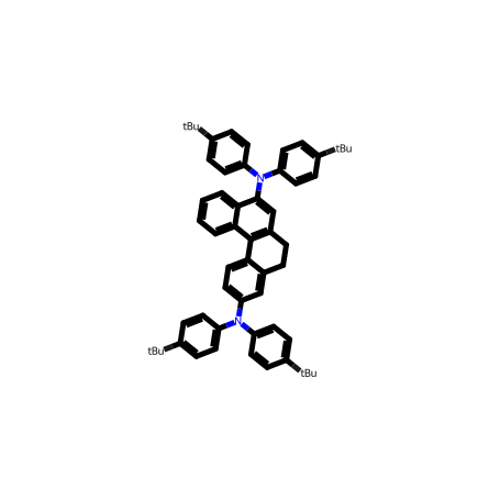 CC(C)(C)c1ccc(N(c2ccc(C(C)(C)C)cc2)c2ccc3c(c2)CCc2cc(N(c4ccc(C(C)(C)C)cc4)c4ccc(C(C)(C)C)cc4)c4ccccc4c2-3)cc1